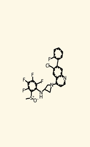 C[S+]([O-])c1c(F)c(F)c(F)c(F)c1NC1CN(c2ccnc3cc(-c4ccccc4F)c(Cl)cc23)C1